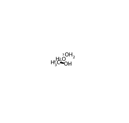 CO.O.O